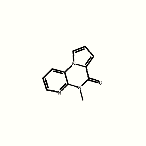 Cn1c(=O)c2cccn2c2cccnc21